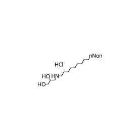 CCCCCCCCCCCCCCCCCCNCC(O)CO.Cl